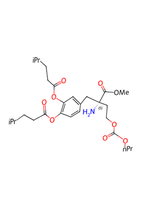 CCCOC(=O)OCC[C@@](N)(Cc1ccc(OC(=O)CCC(C)C)c(OC(=O)CCC(C)C)c1)C(=O)OC